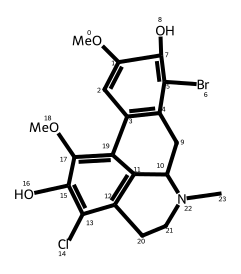 COc1cc2c(c(Br)c1O)CC1c3c(c(Cl)c(O)c(OC)c3-2)CCN1C